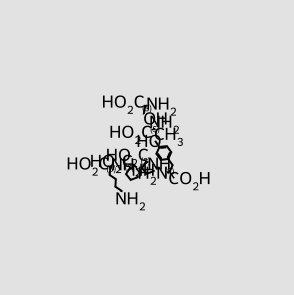 C[C@H](N)C(=O)O.NCCCC[C@H](N)C(=O)O.N[C@@H](CO)C(=O)O.N[C@@H](Cc1ccc(O)cc1)C(=O)O.O=C(O)[C@@H]1CCCN1.O=C(O)[C@@H]1CCCN1